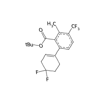 Cc1c(C(F)(F)F)ccc(C2=CCC(F)(F)CC2)c1C(=O)OC(C)(C)C